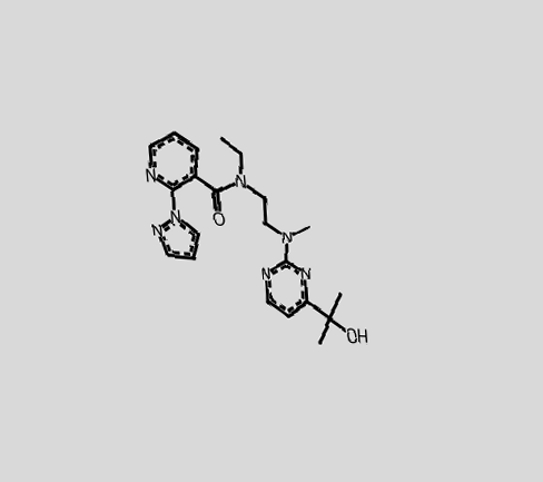 CCN(CCN(C)c1nccc(C(C)(C)O)n1)C(=O)c1cccnc1-n1cccn1